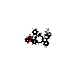 C=C1CC2C(CCc3ccc4c(oc5ccccc54)c3-c3n(-c4ccccc4C(C)(C)C)c4ccccc4[n+]31)c1ccccc1-c1cc(C)c([Si](C)(C)C)c[n+]12